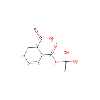 CC(O)(O)OC(=O)C1C=CCCC1C(=O)O